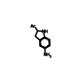 CC(=O)C1Cc2cc(N)ccc2N1